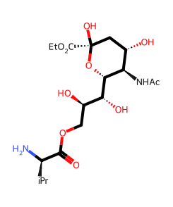 CCOC(=O)[C@]1(O)C[C@H](O)[C@@H](NC(C)=O)[C@H]([C@H](O)[C@H](O)COC(=O)[C@H](N)C(C)C)O1